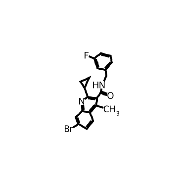 Cc1c(C(=O)NCc2cccc(F)c2)c(C2CC2)nc2cc(Br)ccc12